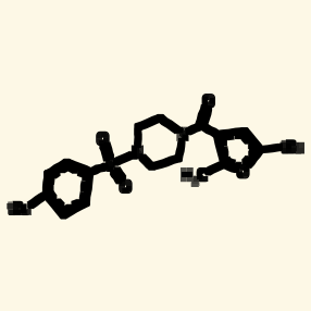 Cc1oc(C(C)(C)C)cc1C(=O)N1CCN(S(=O)(=O)c2ccc(C(C)(C)C)cc2)CC1